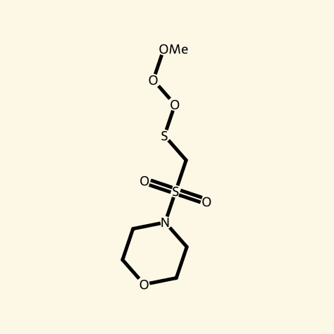 COOOSCS(=O)(=O)N1CCOCC1